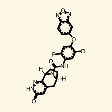 O=C(Nc1cc(Cl)c(Oc2ccc3nonc3c2)cc1F)N1[C@H]2CC[C@@H]1c1n[nH]c(=O)cc1C2